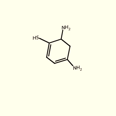 NC1=CC=C(S)C(N)C1